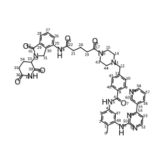 Cc1ccc(NC(=O)c2ccc(CN3CCN(C(=O)CCCC(=O)Nc4cccc5c4CN(C4CCC(=O)NC4=O)C5=O)CC3)cc2)cc1Nc1nccc(-c2cccnc2)n1